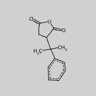 CC(C)(c1ccccc1)C1CC(=O)OC1=O